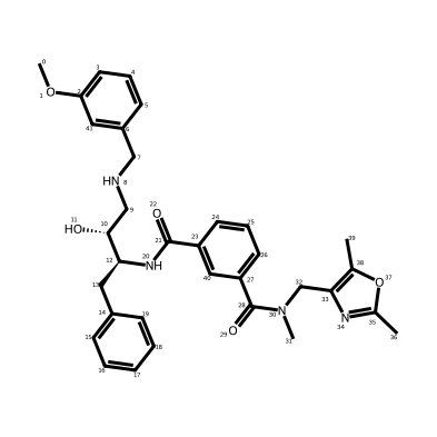 COc1cccc(CNC[C@@H](O)[C@H](Cc2ccccc2)NC(=O)c2cccc(C(=O)N(C)Cc3nc(C)oc3C)c2)c1